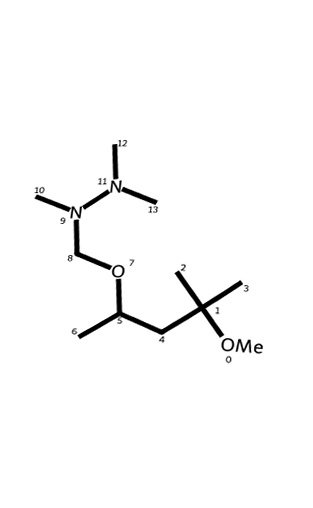 COC(C)(C)CC(C)OCN(C)N(C)C